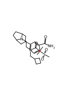 CC(C)(C(=O)N(CCN1C2CCC1CC(c1cccc(C(N)=O)c1)C2)CC1CCC1)S(C)(=O)=O